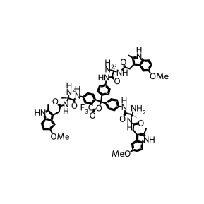 COc1ccc2[nH]c(C)c(CC(=O)N[C@](C)(N)C(=O)Nc3ccc(C(OC(=O)C(F)(F)F)(c4ccc(NC(=O)[C@@](C)(N)NC(=O)Cc5c(C)[nH]c6ccc(OC)cc56)cc4)c4ccc(NC(=O)[C@@](C)(N)NC(=O)Cc5c(C)[nH]c6ccc(OC)cc56)cc4)cc3)c2c1